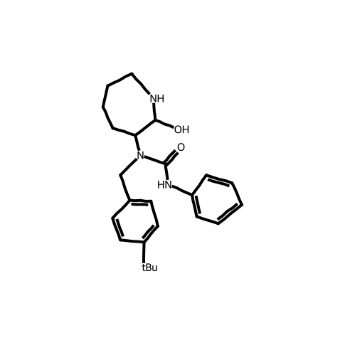 CC(C)(C)c1ccc(CN(C(=O)Nc2ccccc2)C2CCCCNC2O)cc1